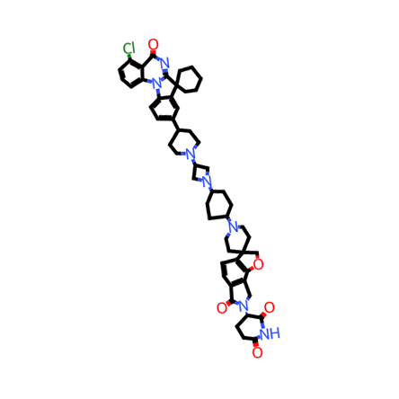 O=C1CC[C@H](N2Cc3c(ccc4c3OCC43CCN(C4CCC(N5CC(N6CCC(c7ccc8c(c7)C7(CCCCC7)c7nc(=O)c9c(Cl)cccc9n7-8)CC6)C5)CC4)CC3)C2=O)C(=O)N1